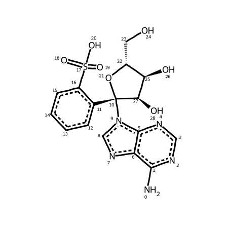 Nc1ncnc2c1ncn2[C@]1(c2ccccc2S(=O)(=O)O)O[C@H](CO)[C@@H](O)[C@H]1O